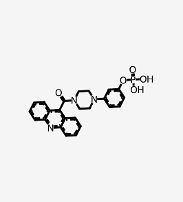 O=C(c1c2ccccc2nc2ccccc12)N1CCN(c2cccc(OP(=O)(O)O)c2)CC1